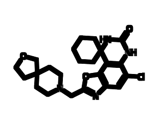 O=C1Nc2c(Cl)cc3nc(CN4CCC5(CCOC5)CC4)oc3c2C2(CCCCC2)N1